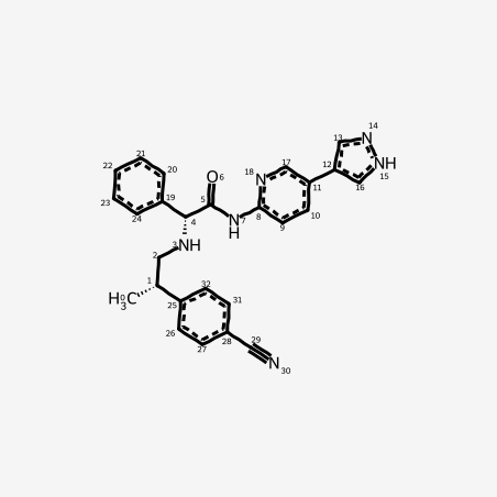 C[C@H](CN[C@@H](C(=O)Nc1ccc(-c2cn[nH]c2)cn1)c1ccccc1)c1ccc(C#N)cc1